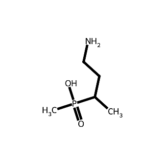 CC(CCN)P(C)(=O)O